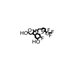 Cc1c(CC(=O)O)c2cc(O)c(F)cc2n1Cc1ccc(OC(F)(F)F)s1